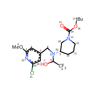 COc1cc(CN(C(O)C(F)(F)F)[C@H]2CCCN(C(=O)OC(C)(C)C)C2)cc(Cl)n1